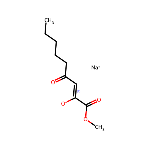 CCCCCC(=O)/C=C(\[O-])C(=O)OC.[Na+]